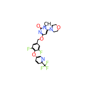 Cn1c(N2CCOCC2)cc(OCc2cc(F)c(Oc3ccc(C(F)(F)F)nc3)c(F)c2)nc1=O